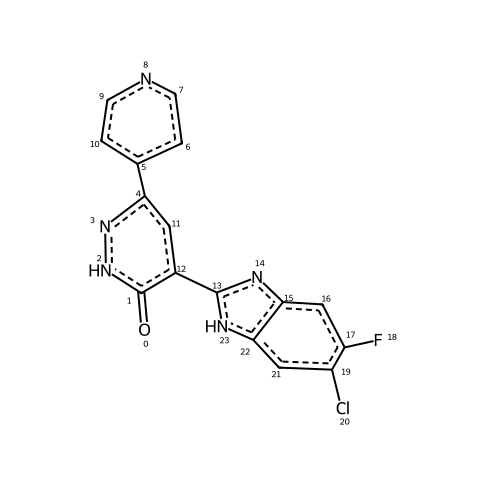 O=c1[nH]nc(-c2ccncc2)cc1-c1nc2cc(F)c(Cl)cc2[nH]1